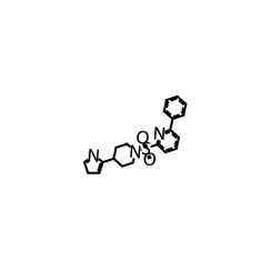 O=S(=O)(c1cccc(-c2ccccc2)n1)N1CCC(C2=CCC=N2)CC1